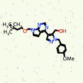 COc1ccc(Cn2ncc(-c3ncnc4c3ccn4COCC[Si](C)(C)C)c2CO)cc1